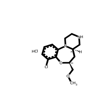 COC[C@@H]1C[C@@H]2CNCCN2c2cccc(Cl)c2O1.Cl